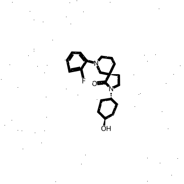 O=C1N([C@H]2CC[C@H](O)CC2)CC[C@@]12CCCN(c1cc[c]cc1F)C2